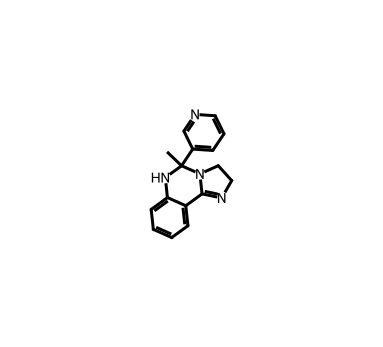 CC1(c2cccnc2)Nc2ccccc2C2=NCCN21